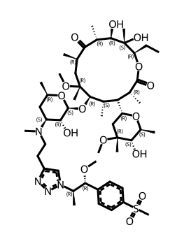 CC[C@H]1OC(=O)[C@H](C)C([C@H]2C[C@@](C)(OC)[C@@H](O)[C@H](C)O2)[C@H](C)[C@@H](O[C@@H]2O[C@H](C)C[C@H](N(C)CCc3cn([C@H](C)[C@H](OC)c4ccc(S(C)(=O)=O)cc4)nn3)[C@H]2O)[C@](C)(OC)C[C@@H](C)C(=O)[C@H](C)[C@@H](O)[C@]1(C)O